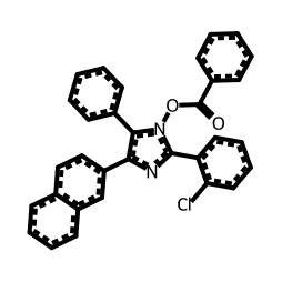 O=C(On1c(-c2ccccc2Cl)nc(-c2ccc3ccccc3c2)c1-c1ccccc1)c1ccccc1